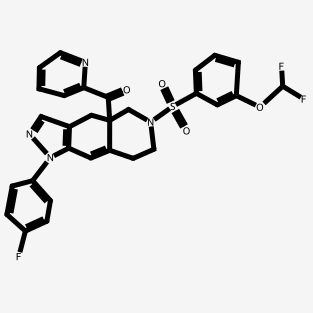 O=C(c1ccccn1)C12Cc3cnn(-c4ccc(F)cc4)c3C=C1CCN(S(=O)(=O)c1cccc(OC(F)F)c1)C2